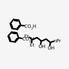 CCCC(O)CC(O)CC(CC)CC.O=C(O)c1ccccc1.O=C(O)c1ccccc1